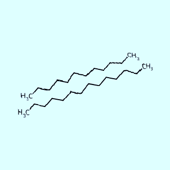 CCCCCCCCCCCC.CCCCCCCCCCCCCC